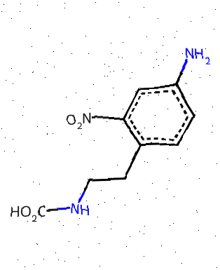 Nc1ccc(CCNC(=O)O)c([N+](=O)[O-])c1